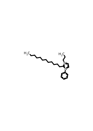 CCCCCCCCCCCCc1n(-c2ccccc2)cc[n+]1CCC